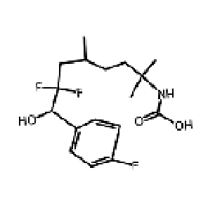 CC(CCC(C)(C)NC(=O)O)CC(F)(F)C(O)c1ccc(F)cc1